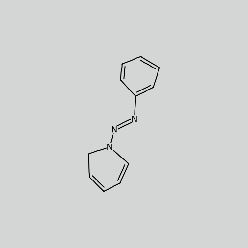 C1=CCN(N=Nc2ccccc2)C=C1